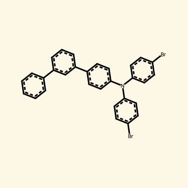 Brc1ccc(N(c2ccc(Br)cc2)c2ccc(-c3cccc(-c4ccccc4)c3)cc2)cc1